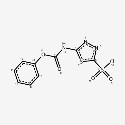 O=C(Nc1nnc(S(=O)(=O)Cl)s1)Oc1ccccc1